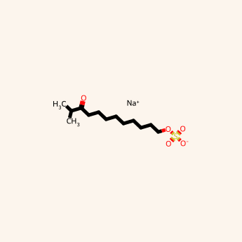 CC(C)C(=O)CCCCCCCCCOS(=O)(=O)[O-].[Na+]